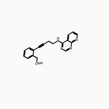 COCc1ccccc1C#CCCNc1ncnc2ncccc12